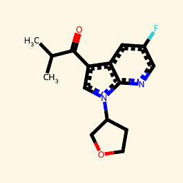 CC(C)C(=O)c1cn(C2CCOC2)c2ncc(F)cc12